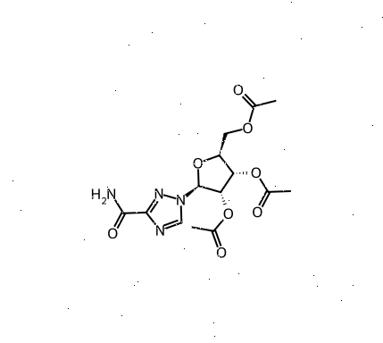 CC(=O)OC[C@@H]1O[C@H](n2cnc(C(N)=O)n2)[C@@H](OC(C)=O)[C@H]1OC(C)=O